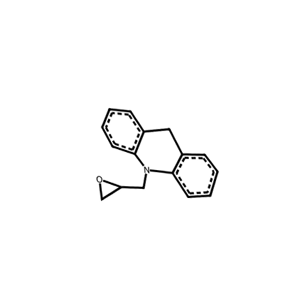 c1ccc2c(c1)Cc1ccccc1N2CC1CO1